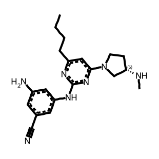 CCCCc1cc(N2CC[C@H](NC)C2)nc(Nc2cc(N)cc(C#N)c2)n1